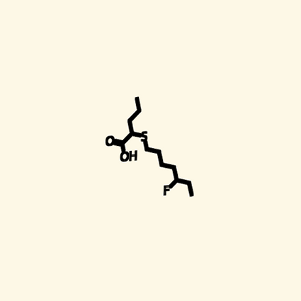 CCCC(SCCCCC(F)CC)C(=O)O